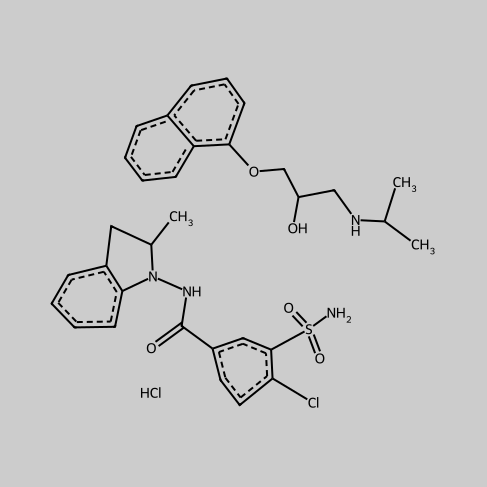 CC(C)NCC(O)COc1cccc2ccccc12.CC1Cc2ccccc2N1NC(=O)c1ccc(Cl)c(S(N)(=O)=O)c1.Cl